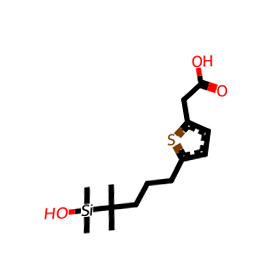 CC(C)(CCCc1ccc(CC(=O)O)s1)[Si](C)(C)O